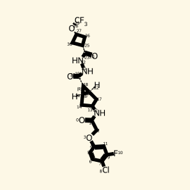 O=C(COc1ccc(Cl)c(F)c1)NC1C[C@@H]2[C@H](C1)[C@H]2C(=O)NNC(=O)[C@H]1C[C@@H](OC(F)(F)F)C1